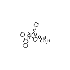 CCC(Oc1cccc2c1OC(SCc1ccccc1)c1sc(-c3ccccc3-c3ccc4ccccc4c3)nc1-2)C(=O)O